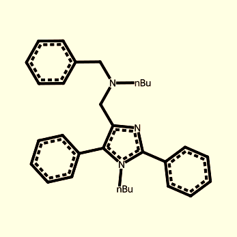 CCCCN(Cc1ccccc1)Cc1nc(-c2ccccc2)n(CCCC)c1-c1ccccc1